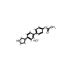 Cl.NC(=O)Oc1ccc(-c2ccc(C3CCNC3)cc2)cc1